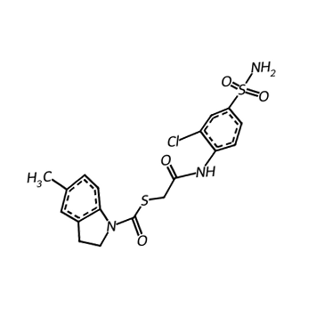 Cc1ccc2c(c1)CCN2C(=O)SCC(=O)Nc1ccc(S(N)(=O)=O)cc1Cl